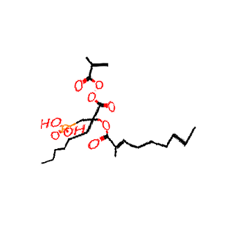 C=C(C)C(=O)OOC(=O)C(CCCCCC)(CP(=O)(O)O)OC(=O)C(C)=CCCCCCC